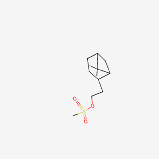 CC1(C)C2CCC(CCOS(C)(=O)=O)C1C2